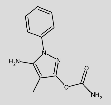 Cc1c(OC(N)=O)nn(-c2ccccc2)c1N